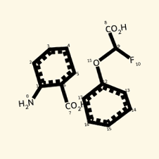 Nc1ccccc1C(=O)O.O=C(O)C(F)Oc1ccccc1